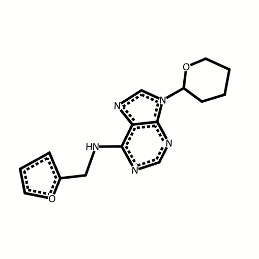 c1coc(CNc2ncnc3c2ncn3C2CCCCO2)c1